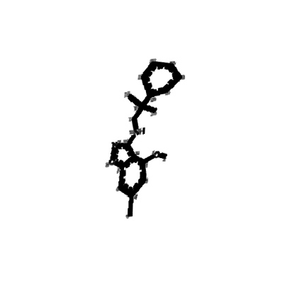 COc1cc(C)cc2onc(NCC(C)(C)c3ccccc3)c12